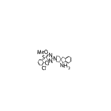 COc1nc(N2CCC3(CC2)Cc2ccccc2[C@H]3N)ncc1Sc1cccc(Cl)c1Cl